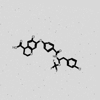 O=C(NC(Cc1ccc(Cl)cc1)OC(F)(F)F)c1ccc(Oc2cc3c(cc2Cl)C(C(=O)O)CCO3)cc1